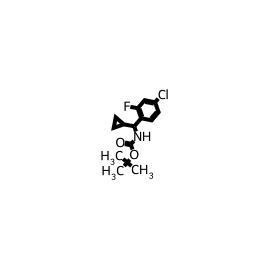 CC(C)(C)OC(=O)NC(c1ccc(Cl)cc1F)C1CC1